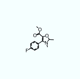 COC(=O)C1=C(c2ccc(F)cc2)N(C)C(C)O1